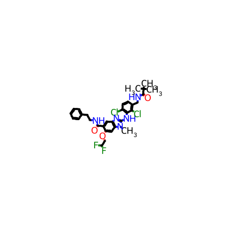 Cn1c(Nc2c(Cl)ccc(CNC(=O)C(C)(C)C)c2Cl)nc2cc(C(=O)NCCc3ccccc3)c(OCC(F)F)cc21